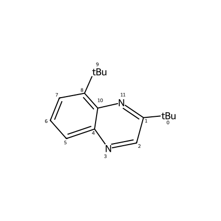 CC(C)(C)c1cnc2cccc(C(C)(C)C)c2n1